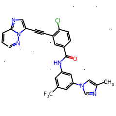 Cc1cn(-c2cc(NC(=O)c3ccc(Cl)c(C#Cc4cnc5cccnn45)c3)cc(C(F)(F)F)c2)cn1